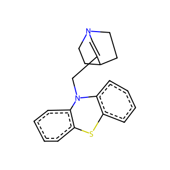 C1=C(CN2c3ccccc3Sc3ccccc32)C2CCN1CC2